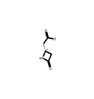 O=C(Cl)C[C@@H]1CC(=O)N1